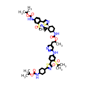 CC(C)OC(=O)Nc1ccc(-c2cnc([C@H]3CC[C@H](NC(=O)OC(C)Cc4cnnc(Nc5ccc(-c6cnc(C7CCC(NC(=O)OC(C)C)CC7)s6)c(S(=O)(=O)C(C)C)c5)c4)CC3)s2)c(S(C)(=O)=NC2CC2)c1